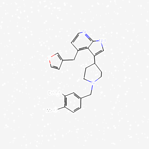 CCOC(=O)c1cc(CN2CCC(c3c[nH]c4nccc(Cc5ccoc5)c34)CC2)ccc1OC